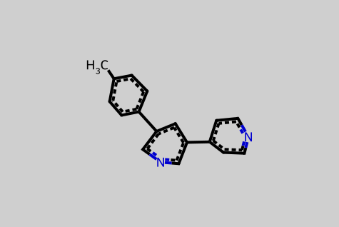 Cc1ccc(-c2cncc(-c3ccncc3)c2)cc1